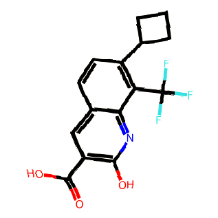 O=C(O)c1cc2ccc(C3CCC3)c(C(F)(F)F)c2nc1O